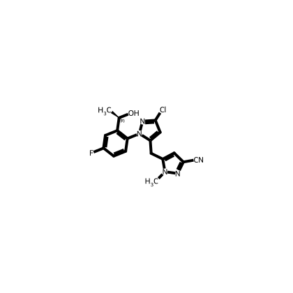 C[C@@H](O)c1cc(F)ccc1-n1nc(Cl)cc1Cc1cc(C#N)nn1C